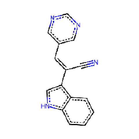 N#CC(=Cc1cncnc1)c1c[nH]c2ccccc12